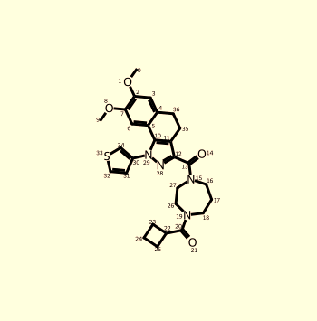 COc1cc2c(cc1OC)-c1c(c(C(=O)N3CCCN(C(=O)C4CCC4)CC3)nn1-c1ccsc1)CC2